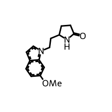 COc1ccc2ccn(CCC3CCC(=O)N3)c2c1